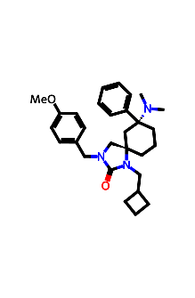 COc1ccc(CN2C[C@@]3(CCC[C@@](c4ccccc4)(N(C)C)C3)N(CC3CCC3)C2=O)cc1